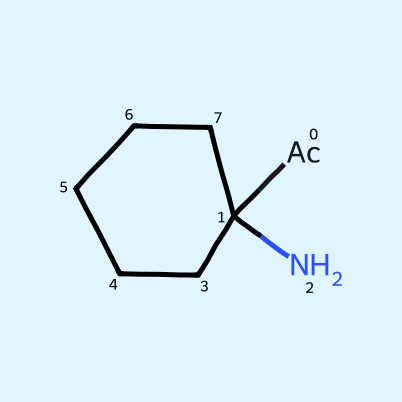 CC(=O)C1(N)CCCCC1